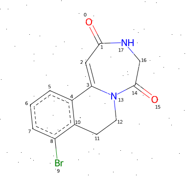 O=C1C=C2c3cccc(Br)c3CCN2C(=O)CN1